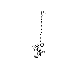 CCCCCCCCCCCCCCCCCCc1ccccc1OC(C)OC(=O)C(CC(=O)O)S(=O)(=O)O